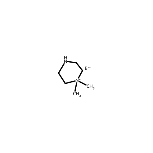 C[N+]1(C)CCNCC1.[Br-]